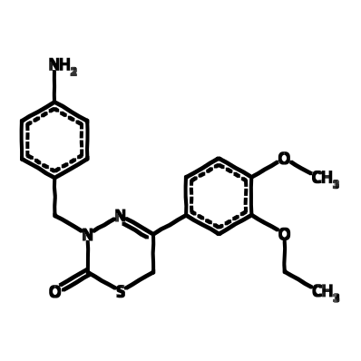 CCOc1cc(C2=NN(Cc3ccc(N)cc3)C(=O)SC2)ccc1OC